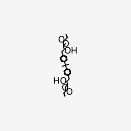 C=CC(=O)OCC(O)Cc1ccc(C(C)(C)c2ccc(CC(O)COC(=O)C=C)cc2)cc1